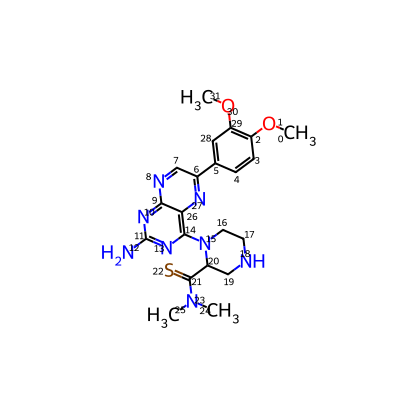 COc1ccc(-c2cnc3nc(N)nc(N4CCNCC4C(=S)N(C)C)c3n2)cc1OC